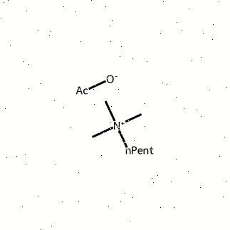 CC(=O)[O-].CCCCC[N+](C)(C)C